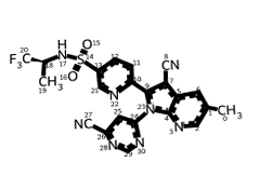 Cc1cnc2c(c1)c(C#N)c(-c1ccc(S(=O)(=O)N[C@@H](C)C(F)(F)F)cn1)n2-c1cc(C#N)ncn1